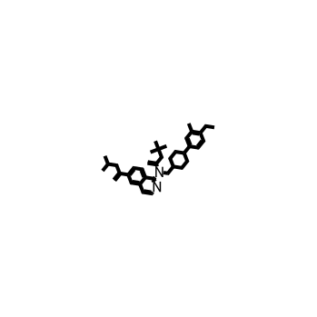 C=C(CC(C)C)c1ccc2c(N(CC3CCC(c4ccc(CC)c(C)c4)CC3)C(=C)CC(C)(C)C)nccc2c1